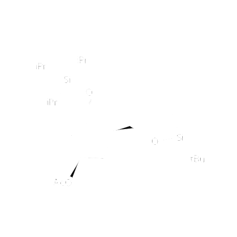 CC(=O)O[C@@H]1C[C@H](CO[Si](C)(C)C(C)(C)C)[C@@H](O[Si](C(C)C)(C(C)C)C(C)C)C1